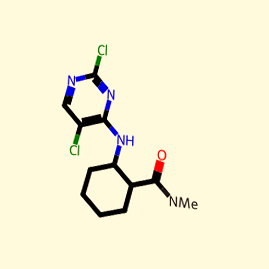 CNC(=O)C1CCCCC1Nc1nc(Cl)ncc1Cl